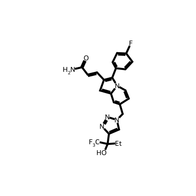 CCC(O)(c1cn(Cc2ccn3c(-c4ccc(F)cc4)c(C=CC(N)=O)cc3c2)nn1)C(F)(F)F